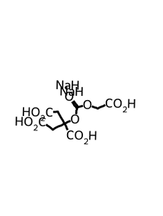 O=C(O)COC(=O)OC(CC(=O)O)(CC(=O)O)C(=O)O.[NaH].[NaH]